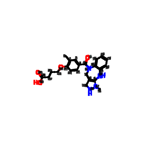 Cc1cc(C(=O)N2CC3=C(Nc4ccccc42)N(C)NC3)ccc1OCCCC(=O)O